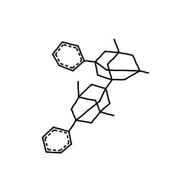 CC12CC3(C)CC(c4ccccc4)(C1)CC(C14CC5(C)CC(C)(CC(c6ccccc6)(C5)C1)C4)(C2)C3